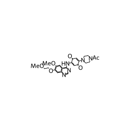 COCCOc1cc2ncnc(NC3=CC(=O)C(N4CCN(C(C)=O)CC4)=CC3=O)c2cc1OC